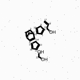 C1=CC2CCC1C2.C1=CCC=C1.C1=CCC=C1.C=CCO.OCO